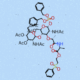 CC(=O)N[C@H]1[C@H](O[C@H]2[C@H](O[C@H](C)C(=O)N[C@@H](C)C(=O)OCCS(=O)(=O)c3ccccc3)[C@@H](NC(C)=O)[C@@H](OP(=O)(OCc3ccccc3)OCc3ccccc3)O[C@@H]2COC(C)=O)O[C@H](COC(C)=O)[C@@H](OC(C)=O)[C@@H]1OC(C)=O